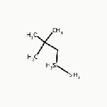 CC(C)(C)C[SiH2][SiH3]